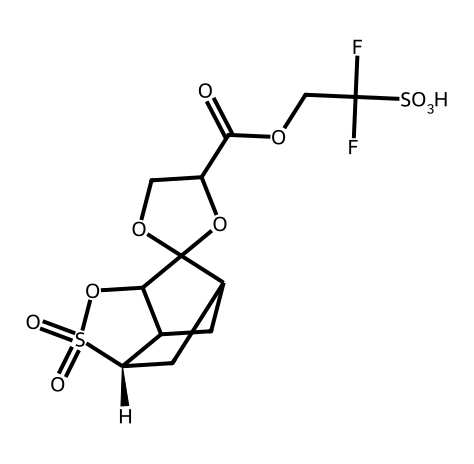 O=C(OCC(F)(F)S(=O)(=O)O)C1COC2(O1)C1CC3C2OS(=O)(=O)[C@H]3C1